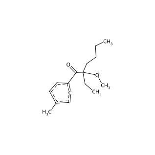 CCCCC(CC)(OC)C(=O)c1ccc(C)cc1